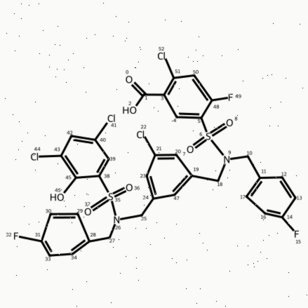 O=C(O)c1cc(S(=O)(=O)N(Cc2ccc(F)cc2)Cc2cc(Cl)cc(CN(Cc3ccc(F)cc3)S(=O)(=O)c3cc(Cl)cc(Cl)c3O)c2)c(F)cc1Cl